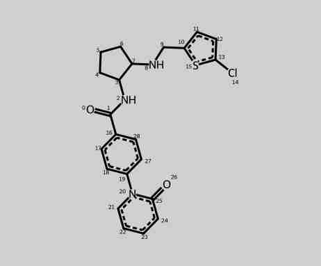 O=C(NC1CCCC1NCc1ccc(Cl)s1)c1ccc(-n2ccccc2=O)cc1